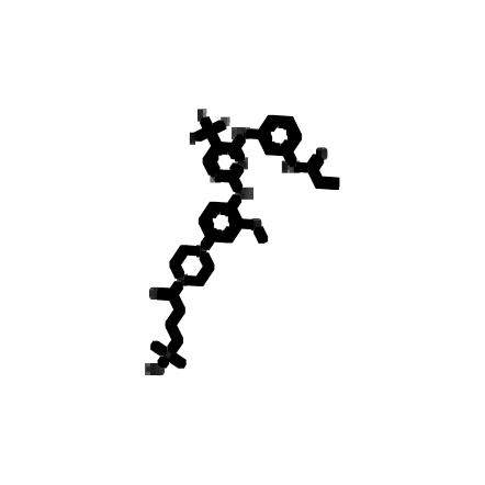 C=CC(=O)Nc1cccc(Nc2nc(Nc3ccc(N4CCN(C(=O)CCC[Si](C)(C)O)CC4)cc3OC)ncc2C(F)(F)F)c1